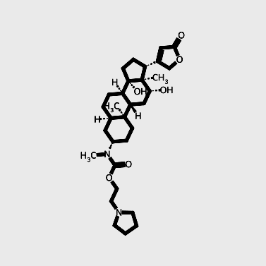 CN(C(=O)OCCN1CCCC1)[C@H]1CC[C@@]2(C)[C@H](CC[C@@H]3[C@@H]2C[C@@H](O)[C@]2(C)[C@@H](C4=CC(=O)OC4)CC[C@]32O)C1